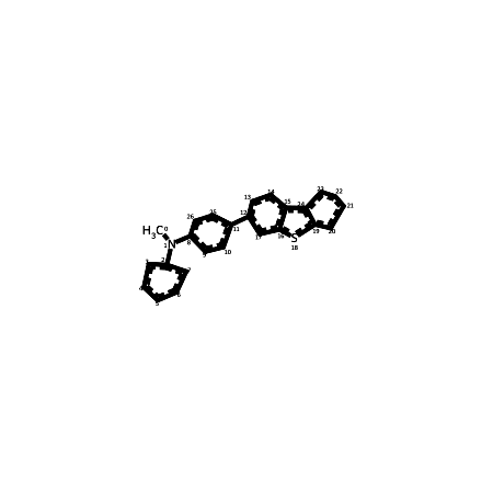 CN(c1ccccc1)c1ccc(-c2ccc3c(c2)sc2ccccc23)cc1